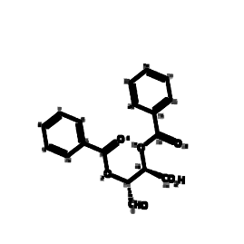 O=C[C@H](OC(=O)c1ccccc1)[C@@H](OC(=O)c1ccccc1)C(=O)O